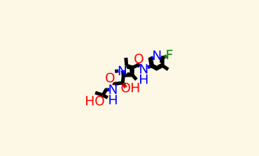 Cc1cc(NC(=O)c2c(C)c(C(O)C(=O)NCC(C)(C)O)n(C)c2C)cnc1F